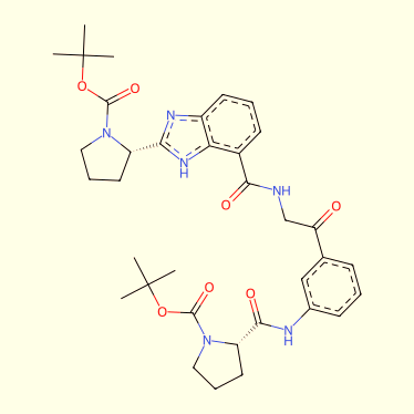 CC(C)(C)OC(=O)N1CCC[C@H]1C(=O)Nc1cccc(C(=O)CNC(=O)c2cccc3nc([C@@H]4CCCN4C(=O)OC(C)(C)C)[nH]c23)c1